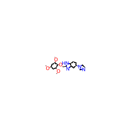 COc1cc(OC)c(OCc2nc3cc(-n4ccnc4)ccc3[nH]2)c(OC)c1